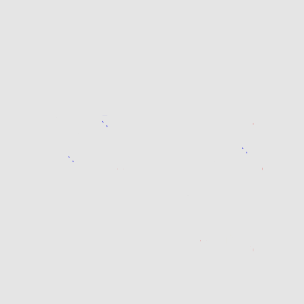 O=C(Nc1nccs1)C(CC1CCCC1)c1ccc(C[SH](=O)=O)c([N+](=O)[O-])c1